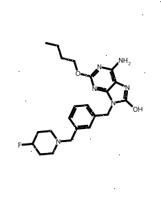 CCCCOc1nc(N)c2nc(O)n(Cc3cccc(CN4CCC(F)CC4)c3)c2n1